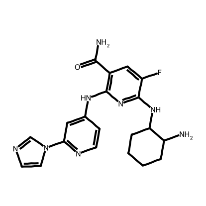 NC(=O)c1cc(F)c(NC2CCCCC2N)nc1Nc1ccnc(-n2ccnc2)c1